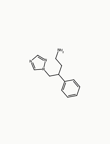 NCCC(Cn1cncn1)c1ccccc1